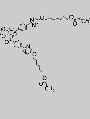 C=CC(=O)OCCCCCCCOc1cnc(-c2ccc(C(=O)OC3OCCOC3OC(=O)c3ccc(-c4ncc(OCCCCCCCOC(=O)C=C)cn4)cc3)cc2)nc1